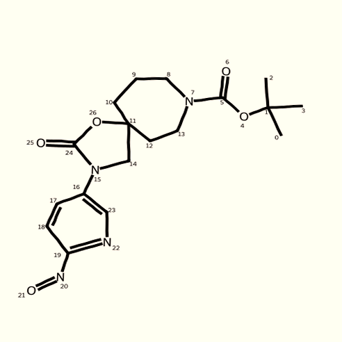 CC(C)(C)OC(=O)N1CCCC2(CC1)CN(c1ccc(N=O)nc1)C(=O)O2